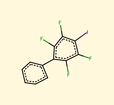 Fc1c(F)c(-c2ccccc2)c(F)c(F)c1I